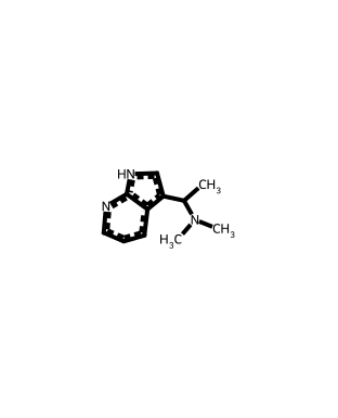 CC(c1c[nH]c2ncccc12)N(C)C